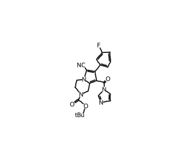 CC(C)(C)OC(=O)N1CCn2c(C#N)c(-c3cccc(F)c3)c(C(=O)n3ccnc3)c2C1